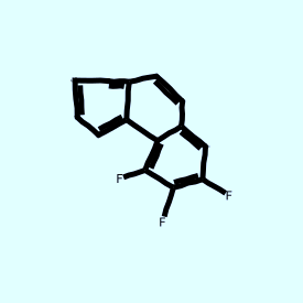 Fc1[c]c2ccc3c[c]ccc3c2c(F)c1F